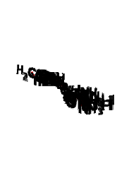 C=CCCC1C(CCCC)C1COC(=O)NCCOCCOCCOCCOCCC(=O)NCCCCC(NC(=O)c1ccc(-c2c3ccc(=N)c(S(=O)(=O)O)c-3oc3c(S(=O)(=O)O)c(N)ccc23)c(C(=O)O)c1)C(=O)ON1C(=O)CCC1=O